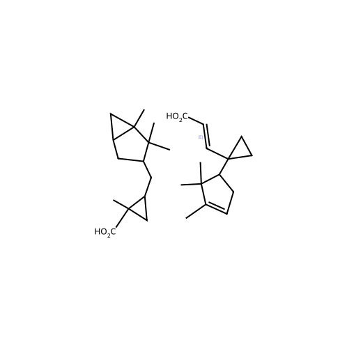 CC1(C(=O)O)CC1CC1CC2CC2(C)C1(C)C.CC1=CCC(C2(/C=C/C(=O)O)CC2)C1(C)C